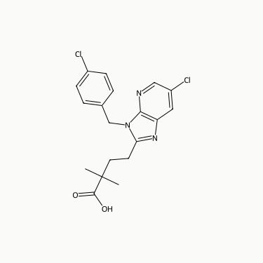 CC(C)(CCc1nc2cc(Cl)cnc2n1Cc1ccc(Cl)cc1)C(=O)O